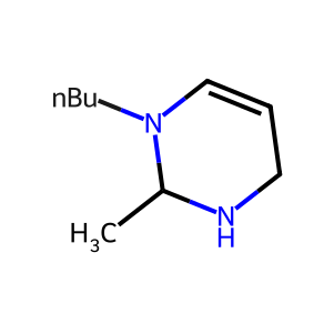 CCCCN1C=CCNC1C